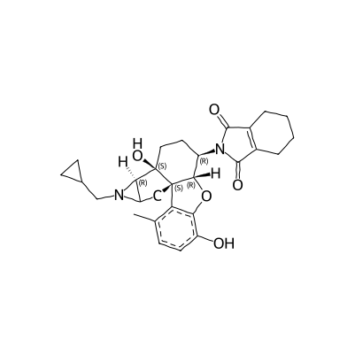 Cc1ccc(O)c2c1[C@]13CC4[C@@H](N4CC4CC4)[C@]1(O)CC[C@@H](N1C(=O)C4=C(CCCC4)C1=O)[C@@H]3O2